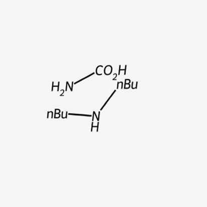 CCCCNCCCC.NC(=O)O